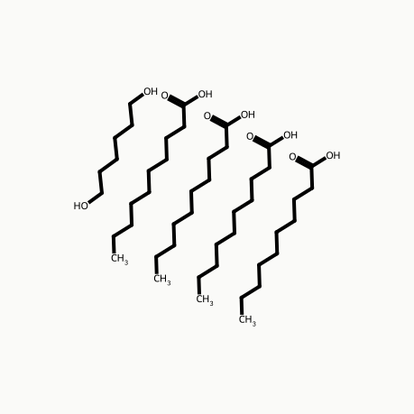 CCCCCCCCCC(=O)O.CCCCCCCCCC(=O)O.CCCCCCCCCC(=O)O.CCCCCCCCCC(=O)O.OCCCCCCO